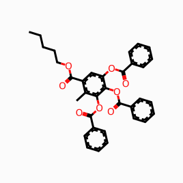 CCCCCOC(=O)c1cc(OC(=O)c2ccccc2)c(OC(=O)c2ccccc2)c(OC(=O)c2ccccc2)c1C